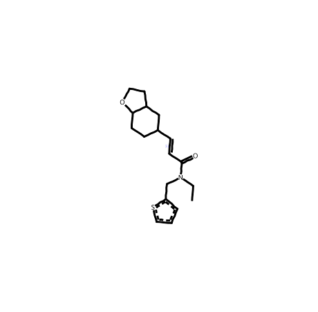 CCN(Cc1cccs1)C(=O)/C=C/C1CCC2OCCC2C1